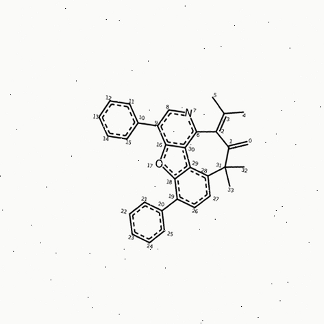 C=C1C(=C(C)C)c2ncc(-c3ccccc3)c3oc4c(-c5ccccc5)ccc(c4c23)C1(C)C